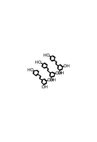 Oc1ccc(/C=C/c2cc(O)cc(O)c2)cc1.Oc1ccc(/C=C/c2cc(O)cc(O)c2)cc1.Oc1ccc(/C=C/c2cc(O)cc(O)c2)cc1